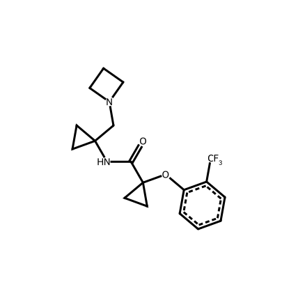 O=C(NC1(CN2CCC2)CC1)C1(Oc2ccccc2C(F)(F)F)CC1